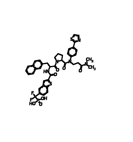 CN(C)C(=O)CCN(C(=O)C1CCCN1C(=O)C(Cc1ccc2ccccc2c1)NC(=O)c1cc2cc(C(F)(F)P(=O)(O)O)ccc2s1)c1ccc(-c2nccs2)cc1